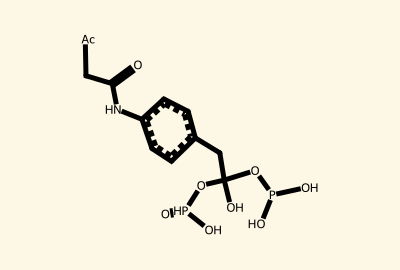 CC(=O)CC(=O)Nc1ccc(CC(O)(OP(O)O)O[PH](=O)O)cc1